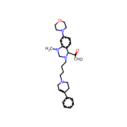 CN1CN(CCCCN2CC=C(c3ccccc3)CC2)C(C(=O)C=O)c2ccc(N3CCOCC3)cc21